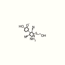 COc1cc(-c2c(C#N)c(N)nc(SCCO)c2C#N)ccc1O